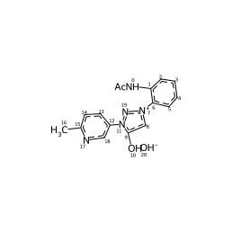 CC(=O)Nc1ccccc1-[n+]1cc(O)n(-c2ccc(C)nc2)n1.[OH-]